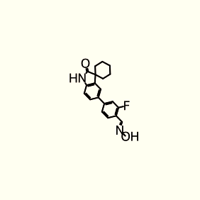 O=C1Nc2ccc(-c3ccc(/C=N/O)c(F)c3)cc2C12CCCCC2